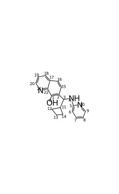 Oc1c(C(Nc2ccccn2)C2CCC2)ccc2cccnc12